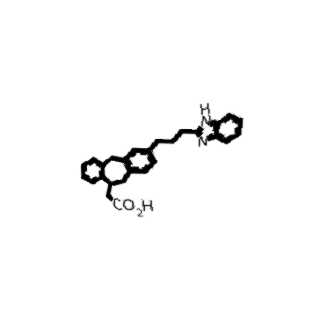 O=C(O)CC1Cc2ccc(CCCc3nc4ccccc4[nH]3)cc2Cc2ccccc21